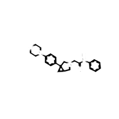 O=C(CN1CC2CC2(c2ccc(N3CCOCC3)cc2)C1)Nc1ccccc1